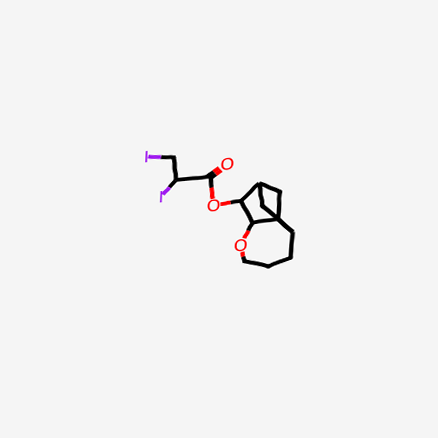 O=C(OC1C2CC3CCCOC1C3C2)C(I)CI